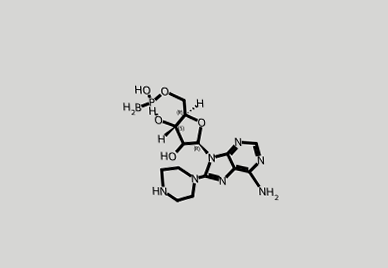 B[PH]1(O)OC[C@H]2O[C@@H](n3c(N4CCNCC4)nc4c(N)ncnc43)C(O)[C@@H]2O1